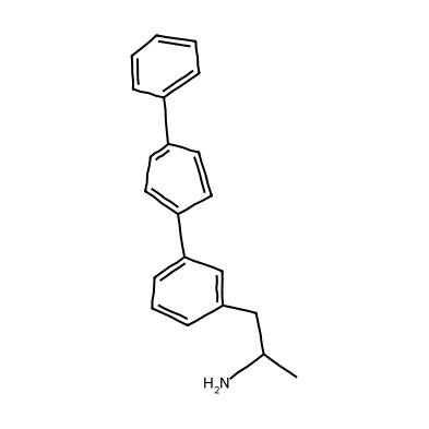 CC(N)Cc1cccc(-c2ccc(-c3ccccc3)cc2)c1